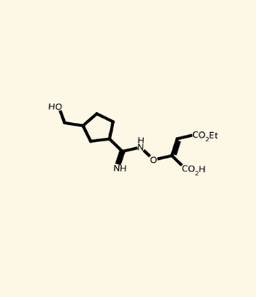 CCOC(=O)C=C(ONC(=N)C1CCC(CO)C1)C(=O)O